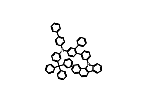 c1ccc(-c2ccc(N(c3cccc(C(c4ccccc4)(c4ccccc4)c4ccccc4)c3)c3ccc(-c4cccc(-n5c6ccccc6c6ccc7ccccc7c65)c4)c(-c4ccccc4)c3)cc2)cc1